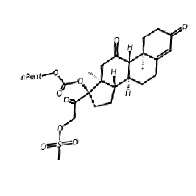 CCCCCOC(=O)O[C@]1(C(=O)COS(C)(=O)=O)CC[C@H]2[C@@H]3CCC4=CC(=O)CC[C@]4(C)[C@H]3C(=O)C[C@@]21C